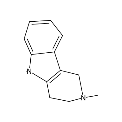 CN1CCC2=C(C1)c1ccccc1[N]2